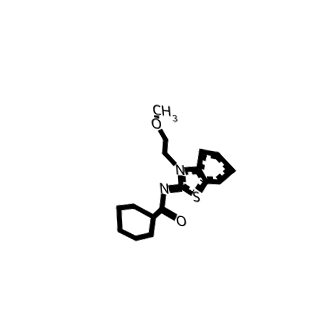 COCCn1/c(=N/C(=O)C2CCCCC2)sc2ccccc21